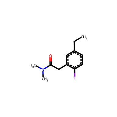 CCc1ccc(I)c(CC(=O)N(C)C)c1